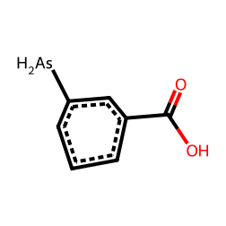 O=C(O)c1cccc([AsH2])c1